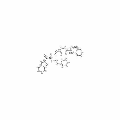 Nc1ccccc1NC(=O)c1ccc(OCCN(CNCc2ccccc2)C(=O)c2cc3ccccc3o2)cc1